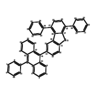 c1ccc(-c2c3ccccc3c(-c3ccc4sc5c(-c6ccccc6)ccc(-c6ccccc6)c5c4c3)c3ccccc23)cc1